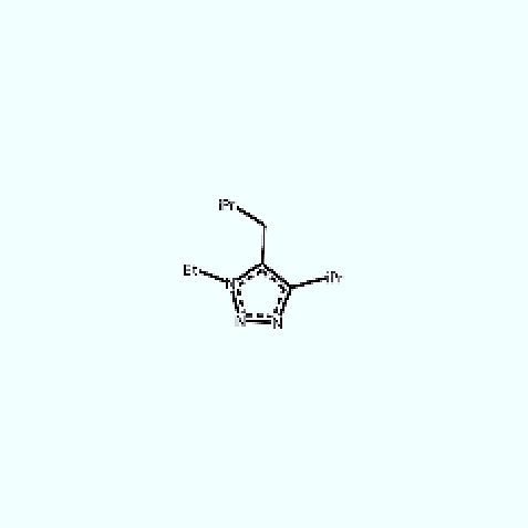 CCn1nnc(C(C)C)c1CC(C)C